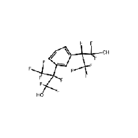 OC(F)(F)C(F)(c1cccc(C(F)(C(O)(F)F)C(F)(F)F)c1)C(F)(F)F